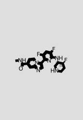 CNC(=O)c1ccn2c(-c3nc(N[C@H]4CNCC[C@@H]4F)c(F)cc3F)cnc2c1